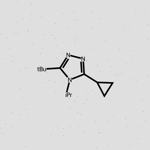 CC(C)n1c(C2CC2)nnc1C(C)(C)C